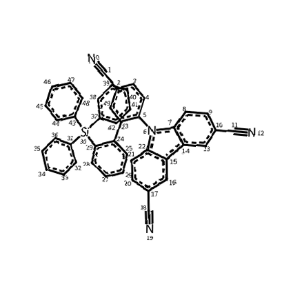 N#Cc1ccc(-n2c3ccc(C#N)cc3c3cc(C#N)ccc32)c(-c2ccccc2[Si](c2ccccc2)(c2ccccc2)c2ccccc2)c1